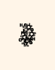 Cc1ccc(Oc2ccc(NNC(=O)c3cccn3-c3ncc(C(F)(F)F)cc3Cl)cc2)cc1